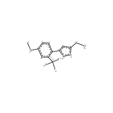 COc1ccc(-c2cc(CCl)on2)c(C(F)(F)F)c1